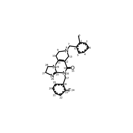 Cc1ccccc1CN1CCC2=C(C1)C(=O)N(Cc1ccccc1F)C1=NCCN12